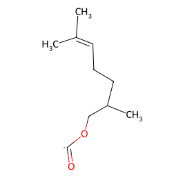 CC(C)=CCCC(C)CO[C]=O